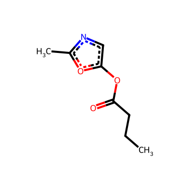 CCCC(=O)Oc1cnc(C)o1